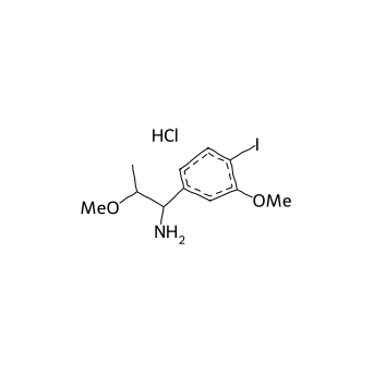 COc1cc(C(N)C(C)OC)ccc1I.Cl